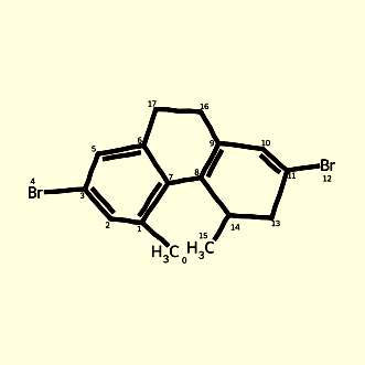 Cc1cc(Br)cc2c1C1=C(C=C(Br)CC1C)CC2